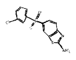 Nc1nc2ccc(S(=O)(=O)c3cccc(Cl)c3)cc2s1